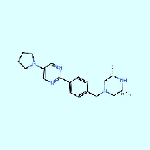 C[C@@H]1CN(Cc2ccc(-c3ncc(N4CCCC4)cn3)cc2)C[C@H](C)N1